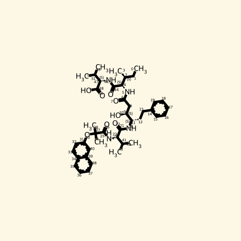 CC[C@H](C)[C@H](NC(=O)C[C@H](O)[C@H](CCc1ccccc1)NC(=O)[C@@H](NC(=O)C(C)(C)Oc1ccc2ccccc2c1)C(C)C)C(=O)N[C@H](C(=O)O)C(C)C